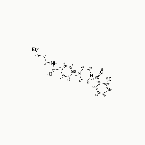 CCSCCNC(=O)c1ccc(N2CCN(C(=O)c3cccnc3Cl)CC2)nc1